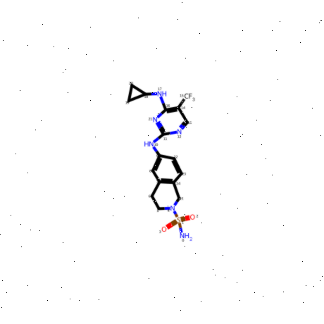 NS(=O)(=O)N1CCc2cc(Nc3ncc(C(F)(F)F)c(NC4CC4)n3)ccc2C1